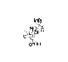 C=CC(=O)O.C=CC(=O)O.C=CC(=O)O.CC(=O)C(CO)(CO)CO